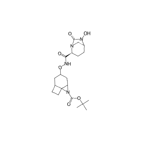 CC(C)(C)OC(=O)N1C2CC(ONC(=O)[C@@H]3CCC4CN3C(=O)N4O)CC3CCC321